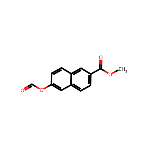 COC(=O)c1ccc2cc(OC=O)ccc2c1